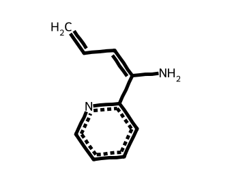 C=C/C=C(/N)c1ccccn1